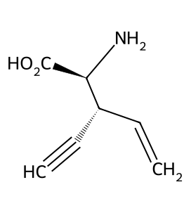 C#C[C@@H](C=C)[C@H](N)C(=O)O